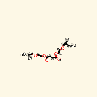 CCCCC(=COCCOC(=O)CCC(=O)OCCOC=C(CC)CCCC)CC